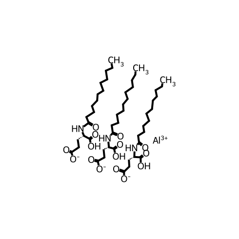 CCCCCCCCCCCC(=O)N[C@@H](CCC(=O)[O-])C(=O)O.CCCCCCCCCCCC(=O)N[C@@H](CCC(=O)[O-])C(=O)O.CCCCCCCCCCCC(=O)N[C@@H](CCC(=O)[O-])C(=O)O.[Al+3]